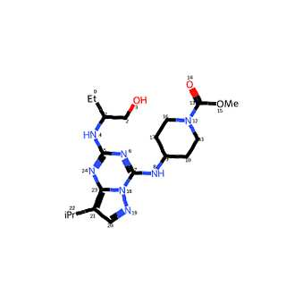 CCC(CO)Nc1nc(NC2CCN(C(=O)OC)CC2)n2ncc(C(C)C)c2n1